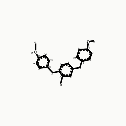 COc1ccc(Cc2ccc(Cc3ccc(OC)cc3)c(C)c2)cc1